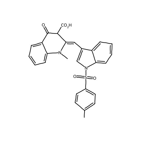 Cc1ccc(S(=O)(=O)n2cc(C=C3C(C(=O)O)C(=O)c4ccccc4N3C)c3ccccc32)cc1